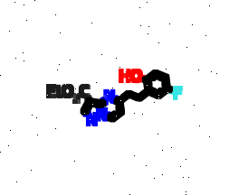 CCOC(=O)c1cnn2ccc(CCc3cc(F)ccc3O)nc12